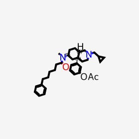 CC(=O)Oc1cccc([C@@]23CCN(CC4CC4)C[C@H]2CC[C@@H](N(C)C(=O)CCCCCc2ccccc2)C3)c1